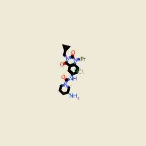 CC(C)n1c(=O)n(CC2CC2)c(=O)c2cc(NC(=O)N3CCC[C@@H](N)C3)ccc21.Cl